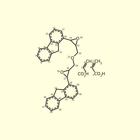 C=CC(=O)O.C=CC(=O)O.c1ccc2c(c1)Cc1c-2cccc1C1OC1COCC1OC1c1cccc2c1Cc1ccccc1-2